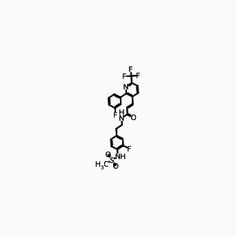 CS(=O)(=O)Nc1ccc(CCNC(=O)C=Cc2ccc(C(F)(F)F)nc2-c2cccc(F)c2)cc1F